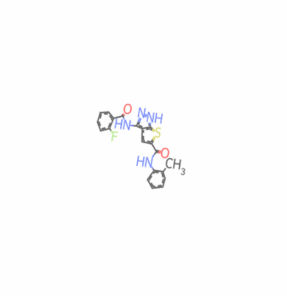 Cc1ccccc1NC(=O)c1cc2c(NC(=O)c3ccccc3F)n[nH]c2s1